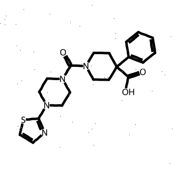 O=C(N1CCN(c2nccs2)CC1)N1CCC(C(=O)O)(c2ccccc2)CC1